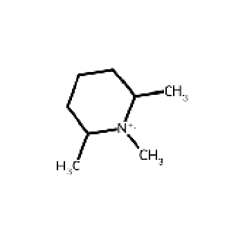 CC1CCCC(C)[N+]1C